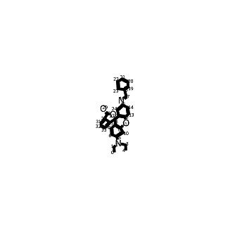 CCN(CC)c1ccc2c(c1)Oc1ccc(N=Cc3ccccc3)cc1C21OC(=O)c2ccccc21